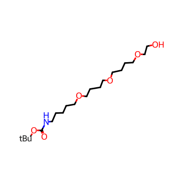 CC(C)(C)OC(=O)NCCCCCOCCCCOCCCCOCCO